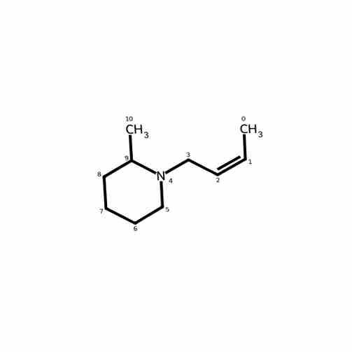 C/C=C\CN1CCCCC1C